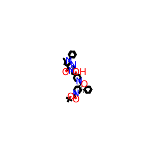 Cc1cc2c(=O)n(CC3(O)CCN(C(=O)[C@@H]4CCN(C(=O)OC(C)(C)C)C[C@H]4c4ccccc4)CC3)cnc2n1-c1ccccc1